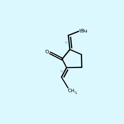 C/C=C1\CC/C(=C\C(C)(C)C)C1=O